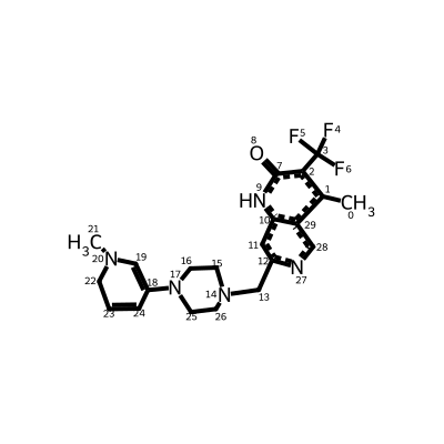 Cc1c(C(F)(F)F)c(=O)[nH]c2cc(CN3CCN(C4=CN(C)CC=C4)CC3)ncc12